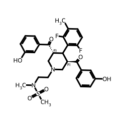 Cc1ccc(F)c(C2[C@@H](C(=O)c3cccc(O)c3)CN(CCN(C)S(C)(=O)=O)C[C@@H]2C(=O)c2cccc(O)c2)c1F